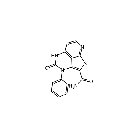 NC(=O)c1sc2nccc3c2c1N(c1ccccc1)C(=O)N3